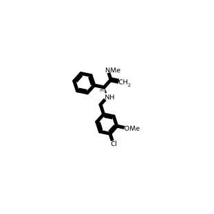 C=C(NC)[C@H](NCc1ccc(Cl)c(OC)c1)c1ccccc1